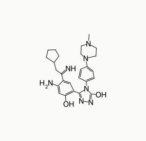 CN1CCN(c2ccc(-n3c(O)nnc3-c3cc(C(=N)CC4CCCC4)c(N)cc3O)cc2)CC1